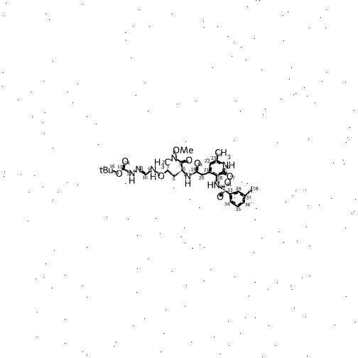 CON(C)C(=O)[C@H](CCONC=NNC(=O)OC(C)(C)C)NC(=O)Cc1cc(C)[nH]c(=O)c1NS(=O)(=O)c1cccc(I)c1